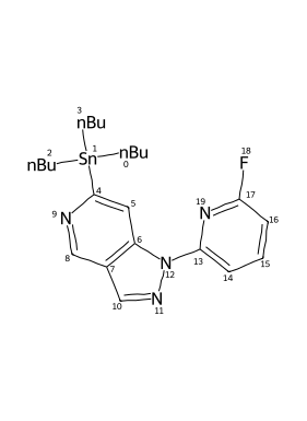 CCC[CH2][Sn]([CH2]CCC)([CH2]CCC)[c]1cc2c(cn1)cnn2-c1cccc(F)n1